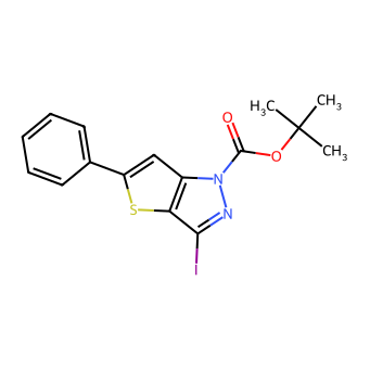 CC(C)(C)OC(=O)n1nc(I)c2sc(-c3ccccc3)cc21